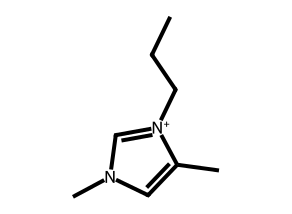 CCC[n+]1cn(C)cc1C